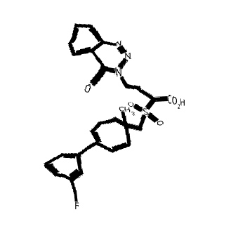 CC1(CS(=O)(=O)C(CCn2nnc3ccccc3c2=O)C(=O)O)C=CC(c2cccc(F)c2)=CC1